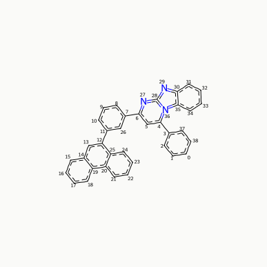 c1ccc(-c2cc(-c3cccc(-c4cc5ccccc5c5ccccc45)c3)nc3nc4ccccc4n23)cc1